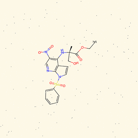 [2H]COC(=O)[C@](C)(CO)Nc1c([N+](=O)[O-])cnc2c1ccn2S(=O)(=O)c1ccccc1